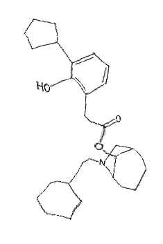 O=C(Cc1cccc(C2CCCC2)c1O)OC1C2CCC1N(CC1CCCCC1)C2